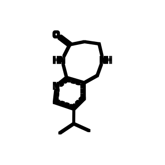 CC(C)c1cnc2c(c1)CNCCC(=O)N2